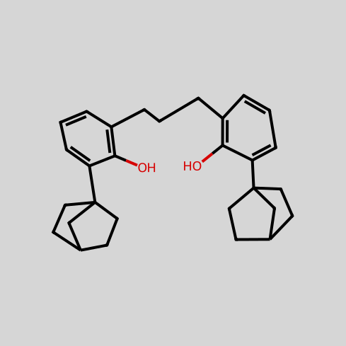 Oc1c(CCCc2cccc(C34CCC(CC3)C4)c2O)cccc1C12CCC(CC1)C2